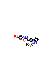 O=C(O)Nc1cc(CCC(=O)Nc2ccc(CO)c(Cl)c2)ccc1-c1ccccc1